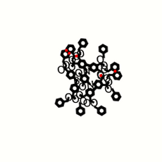 O=C(OCc1ccccc1)c1ccc2c(c1)Oc1c(-n3c4cc(C(=O)OCc5ccccc5)c(C(=O)OCc5ccccc5)cc4c4cc(C(=O)OCc5ccccc5)c(C(=O)OCc5ccccc5)cc43)cc(-n3c4cc(C(=O)OCc5ccccc5)c(C(=O)OCc5ccccc5)cc4c4cc(C(=O)OCc5ccccc5)c(C(=O)OCc5ccccc5)cc43)c3c1B2c1ccc(C(=O)OCc2ccccc2)cc1O3